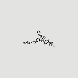 CNc1cnc(NC(=O)/C(=N/OC2CCCC2)c2ccc(SCCCOC)cc2)cn1